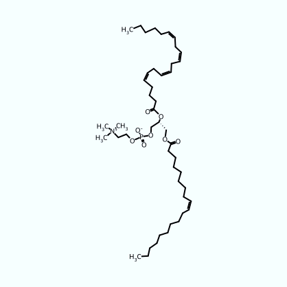 CCCCC/C=C\C/C=C\C/C=C\C/C=C\CCCC(=O)O[C@H](COC(=O)CCCCCCC/C=C\CCCCCCCCC)COP(=O)([O-])OCC[N+](C)(C)C